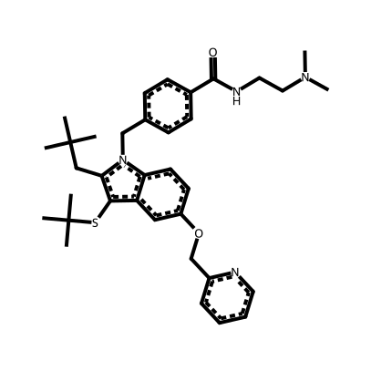 CN(C)CCNC(=O)c1ccc(Cn2c(CC(C)(C)C)c(SC(C)(C)C)c3cc(OCc4ccccn4)ccc32)cc1